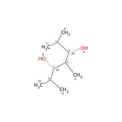 CC(C)[C@H](O)C(C)[C@@H](O)C(C)C